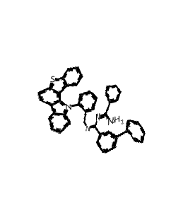 N/C(=N\C(=N/Cc1ccccc1-n1c2ccccc2c2ccc3sc4ccccc4c3c21)c1cccc(-c2ccccc2)c1)c1ccccc1